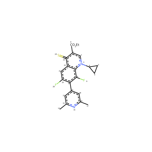 CCOC(=O)c1cn(C2CC2)c2c(F)c(-c3cc(C)nc(C)c3)c(F)cc2c1=S